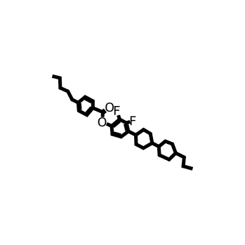 CCCCCc1ccc(C(=O)Oc2ccc(C3CCC(C4CCC(CCC)CC4)CC3)c(F)c2F)cc1